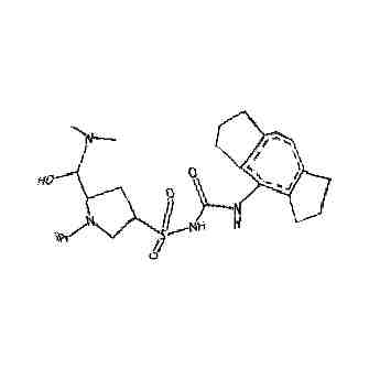 CC(C)N1CC(S(=O)(=O)NC(=O)Nc2c3c(cc4c2CCC4)CCC3)CC1C(O)N(C)C